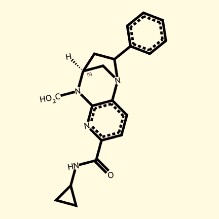 O=C(NC1CC1)c1ccc2c(n1)N(C(=O)O)[C@H]1CC(c3ccccc3)N2C1